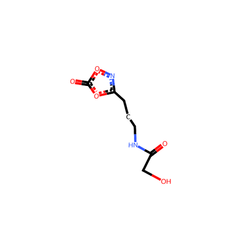 O=C(CO)NCCCc1noc(=O)o1